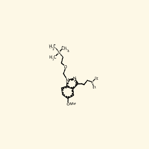 CCN(CC)CCc1nn(COCC[Si](C)(C)C)c2ccc(OC)cc12